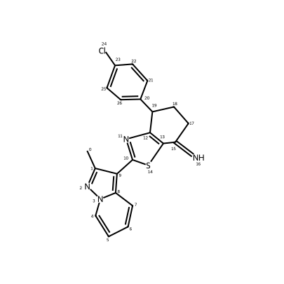 Cc1nn2ccccc2c1-c1nc2c(s1)C(=N)CCC2c1ccc(Cl)cc1